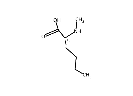 CCCC[C@@H](NC)C(=O)O